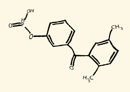 Cc1ccc(C)c(C(=O)c2cccc(O[PH](=O)O)c2)c1